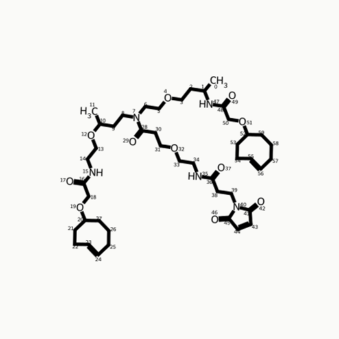 CC(CCOCCN(CCC(C)OCCNC(=O)COC1CC/C=C/CCC1)C(=O)CCOCCNC(=O)CCN1C(=O)C=CC1=O)NC(=O)COC1CC/C=C/CCC1